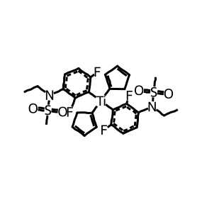 CCN(c1ccc(F)[c]([Ti]([C]2=CC=CC2)([C]2=CC=CC2)[c]2c(F)ccc(N(CC)S(C)(=O)=O)c2F)c1F)S(C)(=O)=O